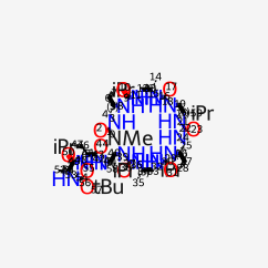 CNC(=O)NC[C@H](CC(C)C)NC(=O)NC[C@H](C)NC(=O)NC[C@@H](NC(=O)NC[C@H](CC(C)C)NC(=O)NC[C@H](C)NC(=O)NC[C@@H](NC(=O)[C@H](CC(C)C)NC(=O)[C@H](C)NC(=O)OC(C)(C)C)C(C)C)C(C)C